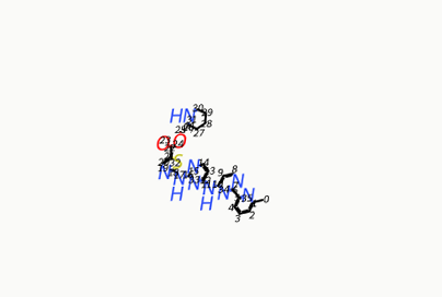 Cc1cccc(-c2nccc(Nc3ccnc(Nc4ncc(C(=O)OC[C@H]5CCCCN5)s4)n3)n2)n1